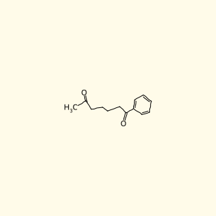 CC(=O)CCCCC(=O)c1ccccc1